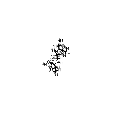 [2H]OC([2H])([2H])[C@@H](N([2H])C([2H])([2H])C([2H])([2H])N([2H])[C@H](C([2H])([2H])O[2H])C([2H])([2H])C([2H])([2H])[2H])C([2H])([2H])C([2H])([2H])[2H]